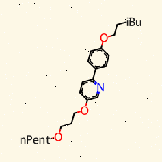 CCCCCOCCCOc1ccc(-c2ccc(OCCC(C)CC)cc2)nc1